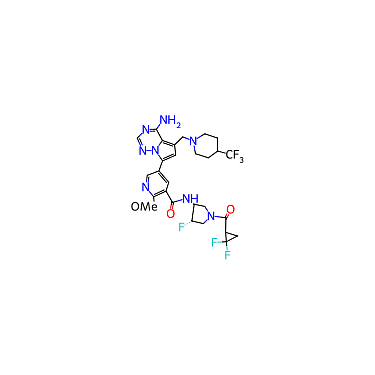 COc1ncc(-c2cc(CN3CCC(C(F)(F)F)CC3)c3c(N)ncnn23)cc1C(=O)N[C@@H]1CN(C(=O)C2CC2(F)F)C[C@@H]1F